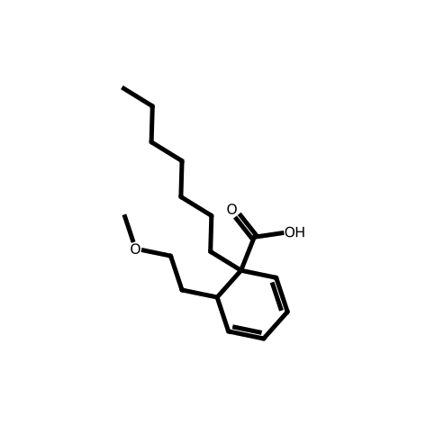 CCCCCCCC1(C(=O)O)C=CC=CC1CCOC